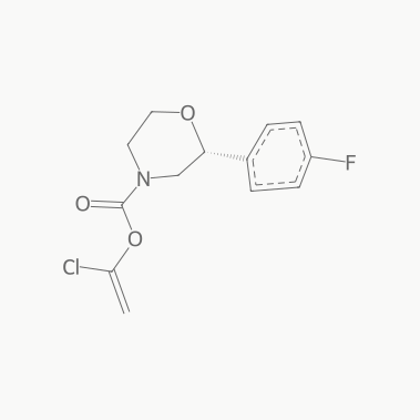 C=C(Cl)OC(=O)N1CCO[C@H](c2ccc(F)cc2)C1